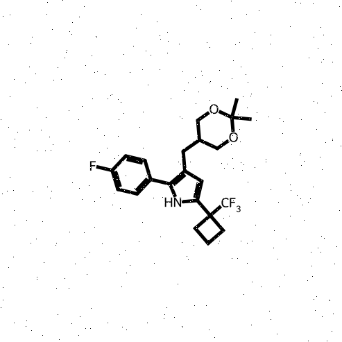 CC1(C)OCC(Cc2cc(C3(C(F)(F)F)CCC3)[nH]c2-c2ccc(F)cc2)CO1